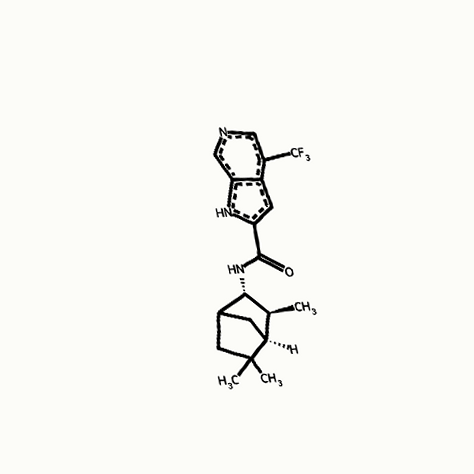 C[C@@H]1[C@@H](NC(=O)c2cc3c(C(F)(F)F)cncc3[nH]2)C2C[C@@H]1C(C)(C)C2